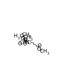 CCOC(=O)C=CC=CC1CCN(S(=O)(=O)C2(C(=O)OC(C)(C)C)CCOCC2)CC1